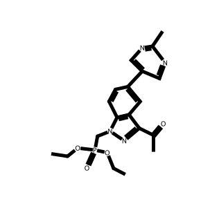 CCOP(=O)(Cn1nc(C(C)=O)c2cc(-c3cnc(C)nc3)ccc21)OCC